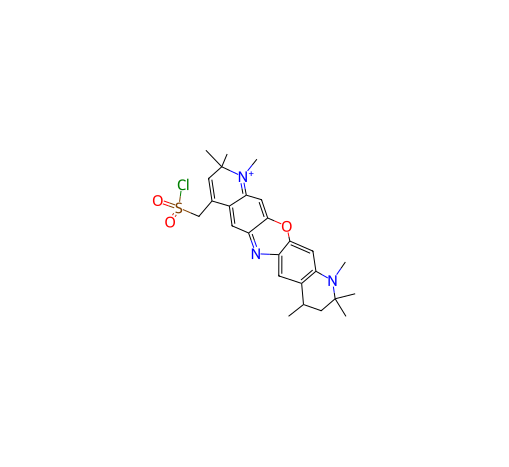 CC1CC(C)(C)N(C)c2cc3c(cc21)N=c1cc2c(cc1O3)=[N+](C)C(C)(C)C=C2CS(=O)(=O)Cl